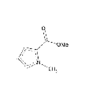 COC(=O)c1c[c]cn1C